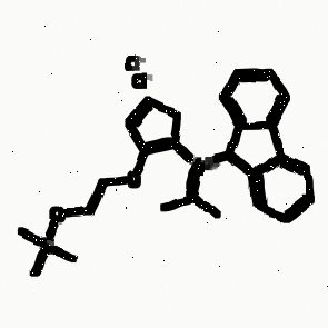 C[C](C)=[Zr+2]([C]1=C(OCCO[Si](C)(C)C)C=CC1)[CH]1c2ccccc2-c2ccccc21.[Cl-].[Cl-]